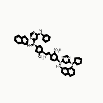 O=S(=O)(O)c1cc(N(Nc2ccc3ccccc3c2)c2cc(Nc3ccccc3)ncn2)ccc1/C=C/c1ccc(N(Nc2ccc3ccccc3c2)c2cc(Nc3ccccc3)ncn2)cc1S(=O)(=O)O